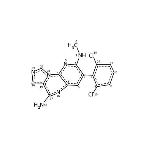 CNc1nc2c(cc1-c1c(Cl)cccc1Cl)nc(N)c1cncn12